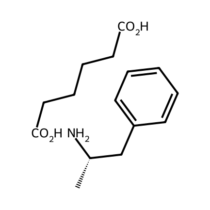 C[C@H](N)Cc1ccccc1.O=C(O)CCCCC(=O)O